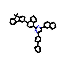 CC1(C)c2ccccc2-c2cc(-c3ccc(-c4nc(-c5ccc(-c6ccccc6)cc5)cc(-c5ccc6ccccc6c5)n4)c4ccccc34)ccc21